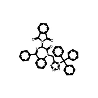 O=C1C(N2C(=O)c3ccccc3C2=O)N=C(c2ccccc2)c2ccccc2N1Cc1nnnn1C(c1ccccc1)(c1ccccc1)c1ccccc1